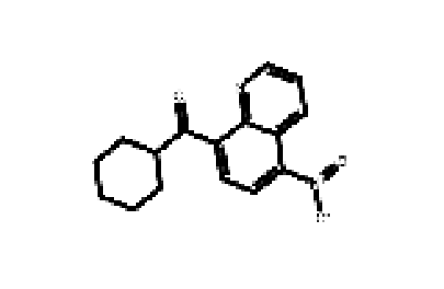 O=C(c1ccc([N+](=O)[O-])c2cccnc12)C1CCCCC1